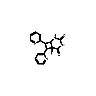 O=C1NC(=O)C2(F)C(N1)C(c1ccccn1)C2c1ccccn1